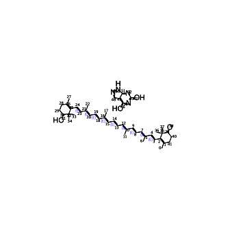 CC1=C(/C=C/C(C)=C/C=C/C(C)=C/C=C/C=C(C)/C=C/C=C(C)/C=C/C2=C(C)CCC(O)C2(C)C)C(C)(C)C(=O)CC1.Oc1nc(O)c2cn[nH]c2n1